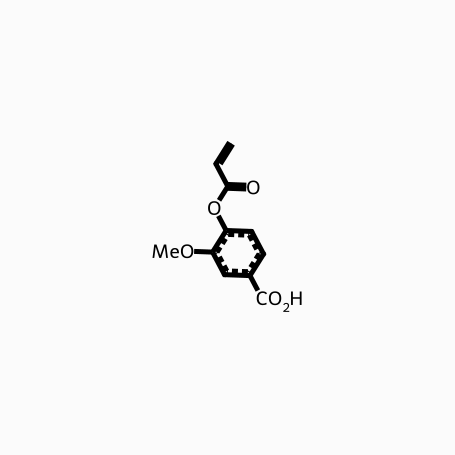 C=CC(=O)Oc1ccc(C(=O)O)cc1OC